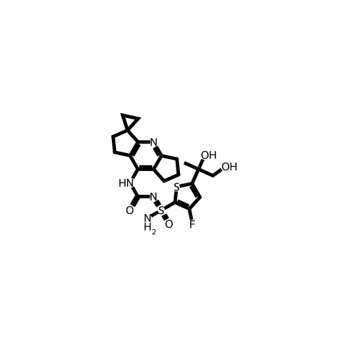 CC(O)(CO)c1cc(F)c(S(N)(=O)=NC(=O)Nc2c3c(nc4c2CCC42CC2)CCC3)s1